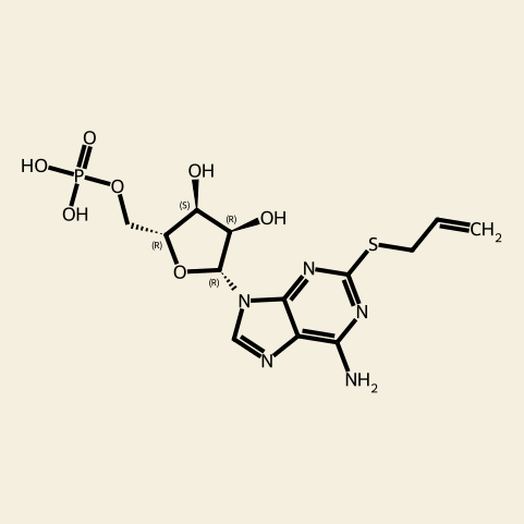 C=CCSc1nc(N)c2ncn([C@@H]3O[C@H](COP(=O)(O)O)[C@@H](O)[C@H]3O)c2n1